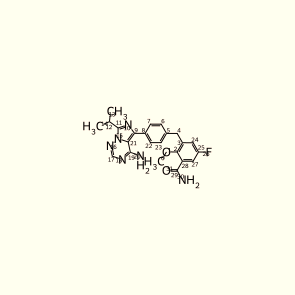 COc1c(Cc2ccc(-c3nc(C(C)C)n4ncnc(N)c34)cc2)cc(F)cc1C(N)=O